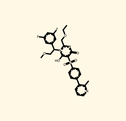 CCOCc1nc(=O)c(S(=O)(=O)c2ccc(-c3cccnc3C)cc2)c(O)n1C(COC)c1cc(F)cc(F)c1